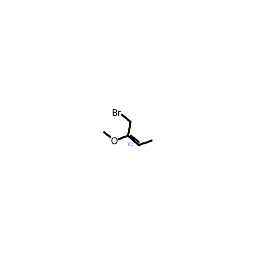 C/C=C(\CBr)OC